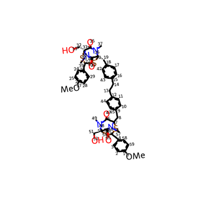 COc1ccc(C2SC3(Cc4ccc(CCc5ccc(C[C@@]67SC(c8ccc(OC)cc8)S[C@@](CO)(C(=O)N6C)N(C)C7=O)cc5)cc4)C(=O)N(C)[C@@](CO)(S2)C(=O)N3C)cc1